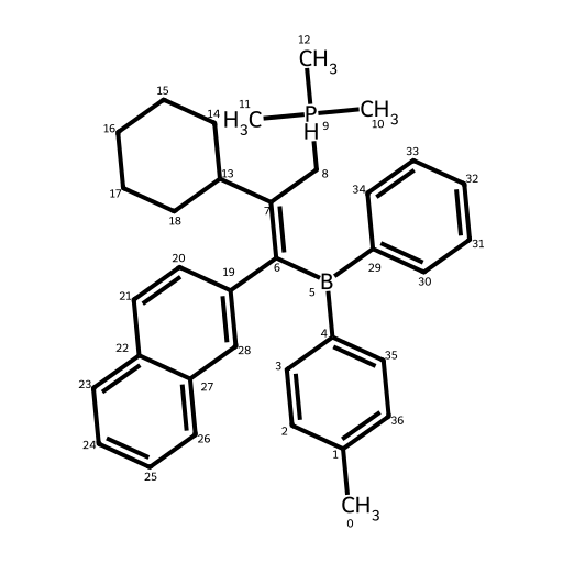 Cc1ccc(B(/C(=C(\C[PH](C)(C)C)C2CCCCC2)c2ccc3ccccc3c2)c2ccccc2)cc1